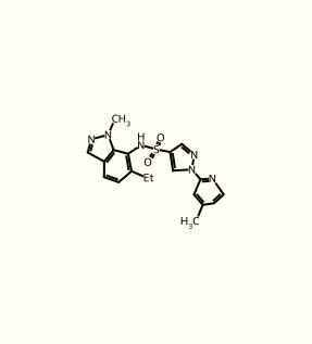 CCc1ccc2cnn(C)c2c1NS(=O)(=O)c1cnn(-c2cc(C)ccn2)c1